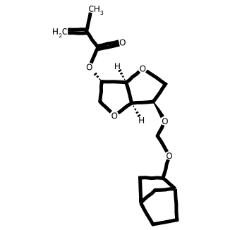 C=C(C)C(=O)O[C@H]1CO[C@H]2[C@@H]1OC[C@H]2OCOC1CC2CCC1C2